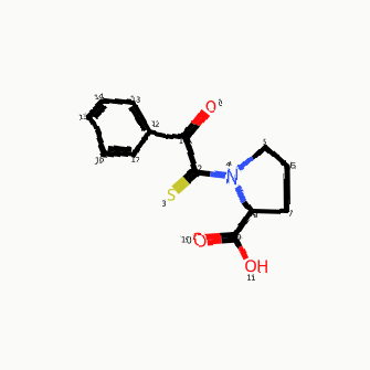 O=C(C(=S)N1CCCC1C(=O)O)c1ccccc1